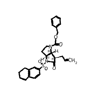 C=CC[C@H]1C(=O)N(S(=O)(=O)c2ccc3c(c2)CCCC3)[C@H]2CCN(C(=O)OCc3ccccc3)[C@H]12